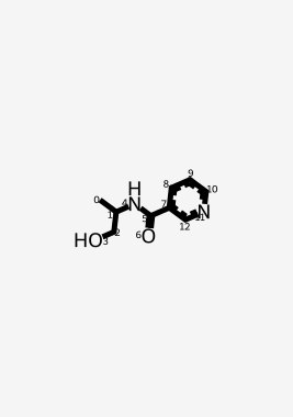 CC(CO)NC(=O)c1cccnc1